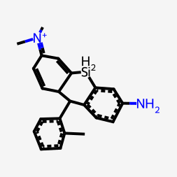 Cc1ccccc1C1c2ccc(N)cc2[SiH2]C2=CC(=[N+](C)C)C=CC21